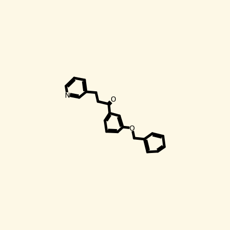 O=C(CCc1cccnc1)c1cccc(OCc2ccccc2)c1